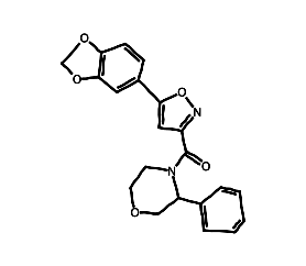 O=C(c1cc(-c2ccc3c(c2)OCO3)on1)N1CCOCC1c1ccccc1